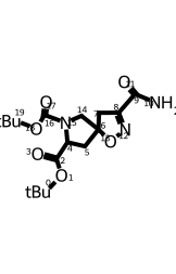 CC(C)(C)OC(=O)C1CC2(CC(C(N)=O)=NO2)CN1C(=O)OC(C)(C)C